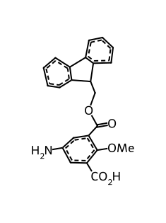 COc1c(C(=O)O)cc(N)cc1C(=O)OCC1c2ccccc2-c2ccccc21